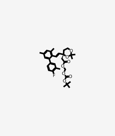 Cc1cc(C)c(C=C[C@]2(CC(=O)OCOC(=O)OC(C)(C)C)CCOC(C)(C)O2)c(-c2ccc(F)c(C)c2)c1